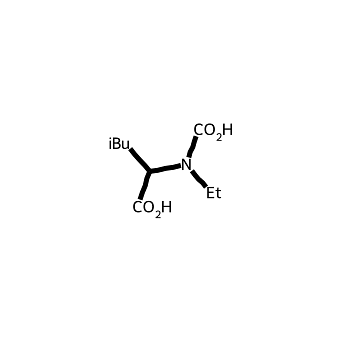 CCC(C)C(C(=O)O)N(CC)C(=O)O